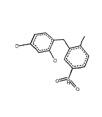 Cc1ccc([SH](=O)=O)cc1Cc1ccc(Cl)cc1Cl